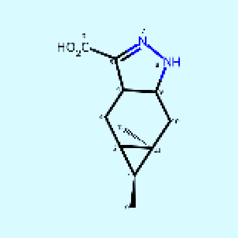 C[C@H]1C2CC3C(C(=O)O)=NNC3C[C@]21C